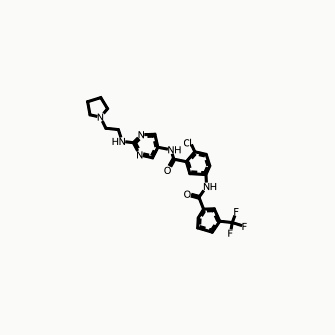 O=C(Nc1ccc(Cl)c(C(=O)Nc2cnc(NCCN3CCCC3)nc2)c1)c1cccc(C(F)(F)F)c1